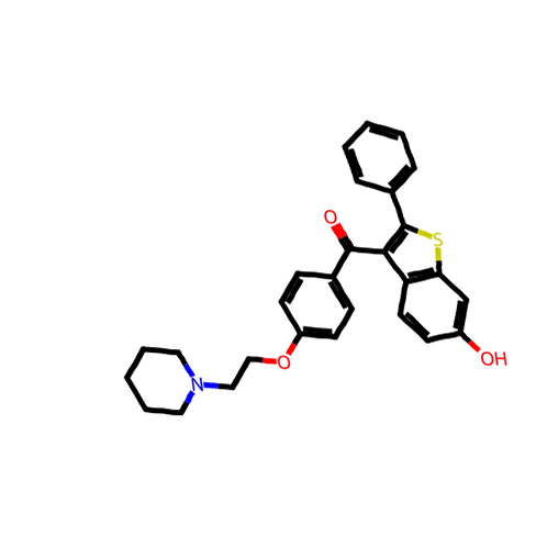 O=C(c1ccc(OCCN2CCCCC2)cc1)c1c(-c2ccccc2)sc2cc(O)ccc12